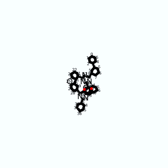 c1ccc(-c2cccc(-c3nc(-c4ccccc4)nc(-c4cccc5oc6ccc(-c7nc(-c8ccccc8)nc8c7oc7ccccc78)cc6c45)n3)c2)cc1